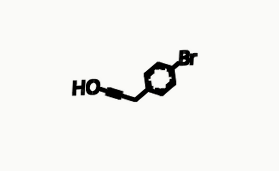 OC#CCc1ccc(Br)cc1